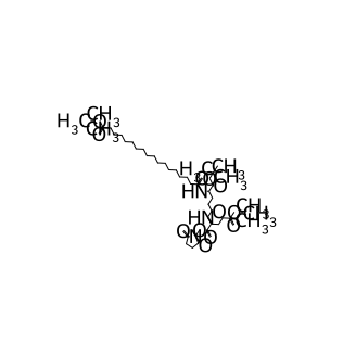 CC(C)(C)OC(=O)CCCCCCCCCCCCCCCCC(=O)NC(CCC(=O)NC(CCC(=O)OC(C)(C)C)C(=O)ON1C(=O)CCC1=O)C(=O)OC(C)(C)C